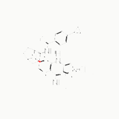 Cn1cc(Nc2nc(N3C4CCC3[C@@H](NC(=O)c3ccc(C5CC5)cc3)CC4)cnc2C(N)=O)cn1